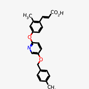 Cc1ccc(COc2ccc(Oc3ccc(C=CC(=O)O)c(C)c3)nc2)cc1